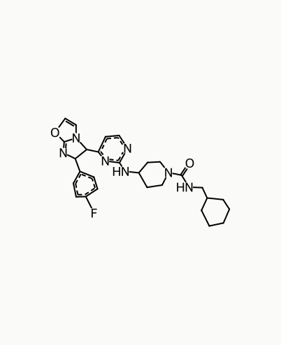 O=C(NCC1CCCCC1)N1CCC(Nc2nccc(C3C(c4ccc(F)cc4)N=C4OC=CN43)n2)CC1